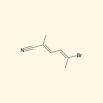 C/C(Br)=C\C=C(/C)C#N